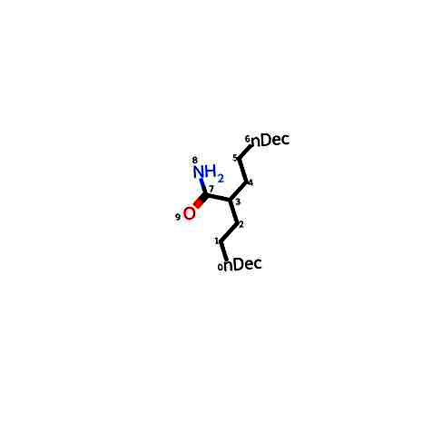 CCCCCCCCCCCCC(CCCCCCCCCCCC)C(N)=O